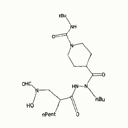 CCCCCC(CN(O)C=O)C(=O)NN(CCCC)C(=O)C1CCN(C(=O)NC(C)(C)C)CC1